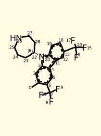 Cc1cc2c(cc1C(F)(F)F)c1cc(C(F)(F)F)ccc1n2[C@@H]1CCCNCC1